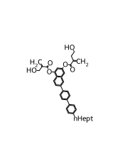 C=C(CCO)C(=O)Oc1cc(OC(=O)C(=C)CO)c2ccc(-c3ccc(-c4ccc(CCCCCCC)cc4)cc3)cc2c1